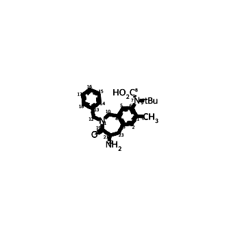 Cc1cc2c(cc1N(C(=O)O)C(C)(C)C)CN(Cc1ccccc1)C(=O)C(N)C2